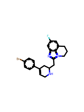 Fc1cc2c3c(c1)nc(CC1CC(c4ccc(Br)cc4)=CCN1)n3CCC2